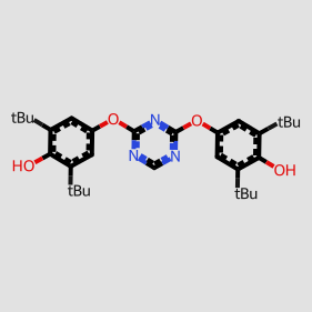 CC(C)(C)c1cc(Oc2ncnc(Oc3cc(C(C)(C)C)c(O)c(C(C)(C)C)c3)n2)cc(C(C)(C)C)c1O